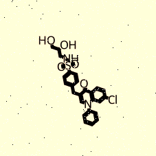 O=c1c(Cc2ccc(S(=O)(=O)NCC(O)CO)cc2)cn(-c2ccccc2)c2cc(Cl)ccc12